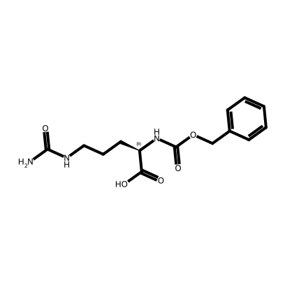 NC(=O)NCCC[C@@H](NC(=O)OCc1ccccc1)C(=O)O